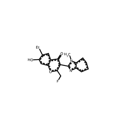 CCc1cc2c(=O)c(-c3nc4ccccc4n3C)c(CF)oc2cc1O